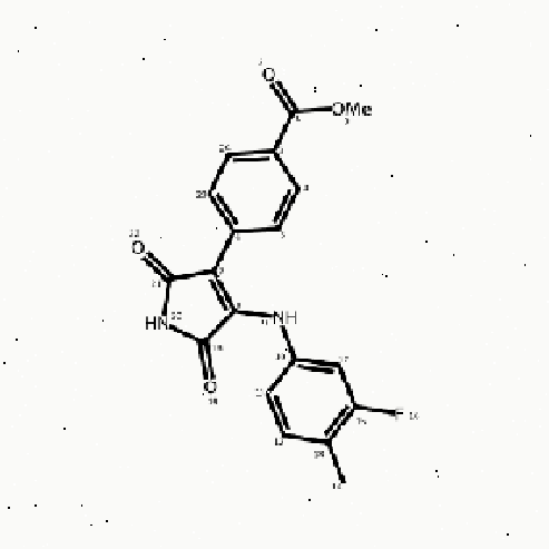 COC(=O)c1ccc(C2=C(Nc3ccc(C)c(F)c3)C(=O)NC2=O)cc1